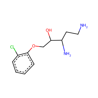 NCCC(N)C(O)COc1ccccc1Cl